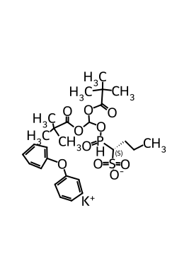 CCC[C@@H]([PH](=O)OC(OC(=O)C(C)(C)C)OC(=O)C(C)(C)C)S(=O)(=O)[O-].[K+].c1ccc(Oc2ccccc2)cc1